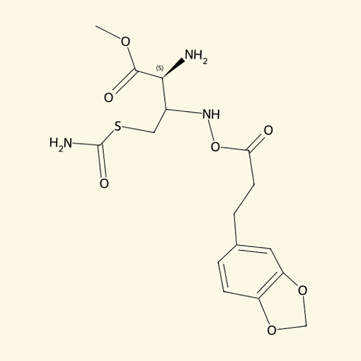 COC(=O)[C@@H](N)C(CSC(N)=O)NOC(=O)CCc1ccc2c(c1)OCO2